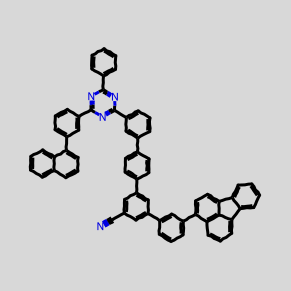 N#Cc1cc(-c2ccc(-c3cccc(-c4nc(-c5ccccc5)nc(-c5cccc(-c6cccc7ccccc67)c5)n4)c3)cc2)cc(-c2cccc(-c3ccc4c5c(cccc35)-c3ccccc3-4)c2)c1